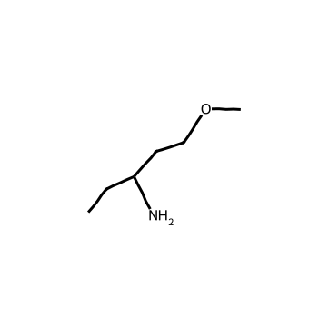 CCC(N)CCOC